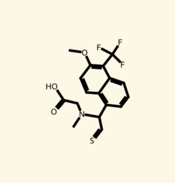 COc1ccc2c(C(C=S)N(C)CC(=O)O)cccc2c1C(F)(F)F